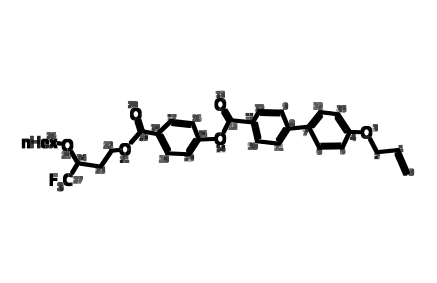 C=CCOc1ccc(-c2ccc(C(=O)Oc3ccc(C(=O)OCCC(OCCCCCC)C(F)(F)F)cc3)cc2)cc1